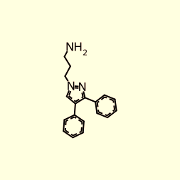 NCCCn1cc(-c2ccccc2)c(-c2ccccc2)n1